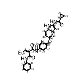 CC/C=C(\C(=O)Nc1ccccc1)C(=O)Nc1ccc(OC2=NN3C=C(NC(=O)C4CC4)NC3C=C2)nc1